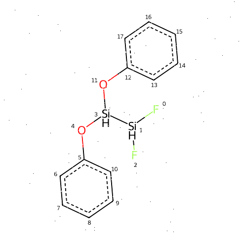 F[SiH](F)[SiH](Oc1ccccc1)Oc1ccccc1